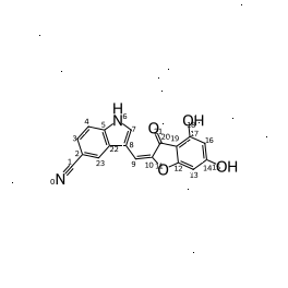 N#Cc1ccc2[nH]cc(C=C3Oc4cc(O)cc(O)c4C3=O)c2c1